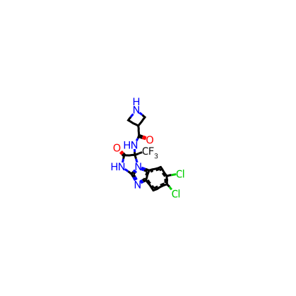 O=C(NC1(C(F)(F)F)C(=O)Nc2nc3cc(Cl)c(Cl)cc3n21)C1CNC1